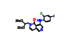 COC(Cn1ccc2cncc(Nc3ccc(I)cc3F)c2c1=O)OC